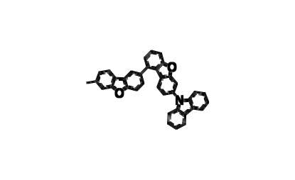 Cc1ccc2c(c1)oc1ccc(-c3cccc4oc5cc(-n6c7ccccc7c7ccccc76)ccc5c34)cc12